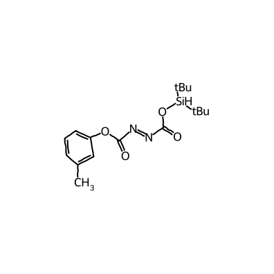 Cc1cccc(OC(=O)N=NC(=O)O[SiH](C(C)(C)C)C(C)(C)C)c1